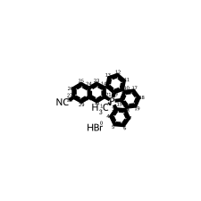 Br.CP(c1ccccc1)(c1ccccc1)(c1ccccc1)c1ccc2ccc(C#N)cc2c1